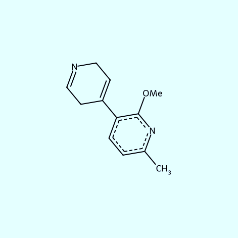 COc1nc(C)ccc1C1=CCN=CC1